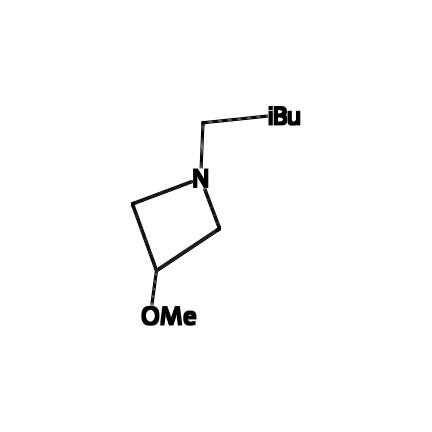 CCC(C)CN1CC(OC)C1